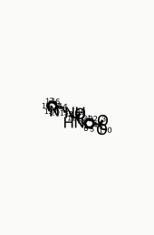 COC(=O)c1ccc(NC(=O)CNCCc2ccccn2)cc1